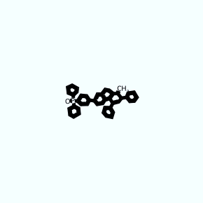 C=C1c2ccc3cc(-c4ccc(P(=O)(c5ccccc5)c5ccccc5)cc4)ccc3c2C(c2ccccc2)=CC1c1ccccc1